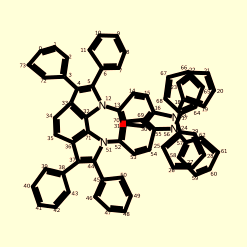 c1ccc(-c2c(-c3ccccc3)n(-c3ccc(N(c4ccccc4)c4ccccc4)cc3)c3c2ccc2c(-c4ccccc4)c(-c4ccccc4)n(-c4ccc(N(c5ccccc5)c5ccccc5)cc4)c23)cc1